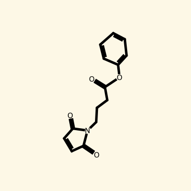 O=C(CCCN1C(=O)C=CC1=O)Oc1ccccc1